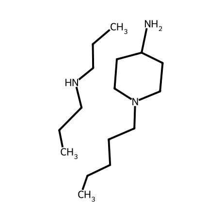 CCCCCN1CCC(N)CC1.CCCNCCC